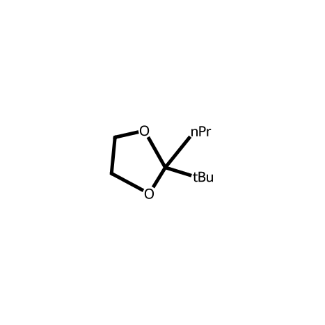 CCCC1(C(C)(C)C)OCCO1